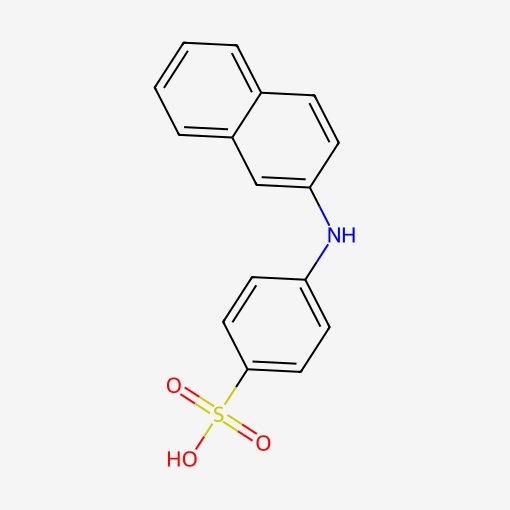 O=S(=O)(O)c1ccc(Nc2ccc3ccccc3c2)cc1